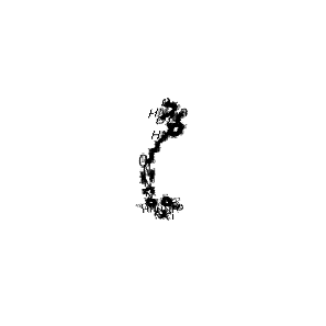 COc1cc(N2CCC(N3CCN(C(=O)CCCCCNc4cccc5c4CN(C4CCC(=O)NC4=O)C5=O)CC3)CC2)ccc1Nc1ncc(Cl)c(Nc2ccccc2P(C)(C)=O)n1